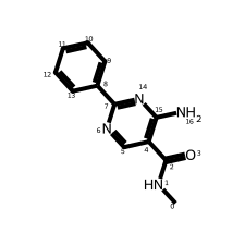 CNC(=O)c1cnc(-c2ccccc2)nc1N